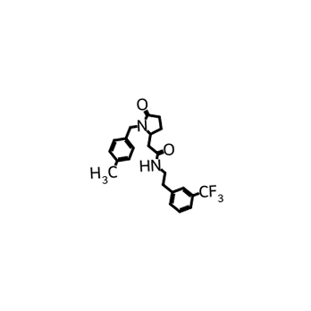 Cc1ccc(CN2C(=O)CCC2CC(=O)NCCc2cccc(C(F)(F)F)c2)cc1